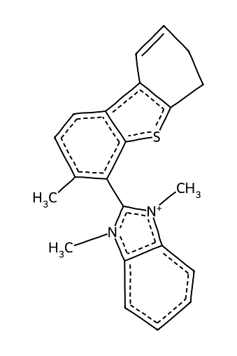 Cc1ccc2c3c(sc2c1-c1n(C)c2ccccc2[n+]1C)CCC=C3